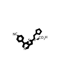 N#Cc1ccc(-c2cncc3cc([C@@H](CC(=O)O)CC4CCCC4)sc23)cc1